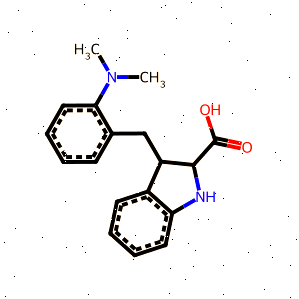 CN(C)c1ccccc1CC1c2ccccc2NC1C(=O)O